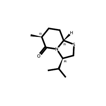 CC(C)[C@@H]1CS[C@H]2CC[C@H](C)C(=O)N21